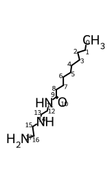 CCCCCCCCCC(=O)NCCNCCN